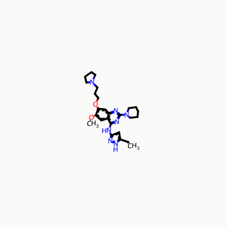 CCc1cc(Nc2nc(N3CCCCC3)nc3cc(OCCCN4CCCC4)c(OC)cc23)n[nH]1